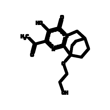 CC(=O)c1nc2n(c(=O)c1O)CC1CCC2(OCCO)CC1